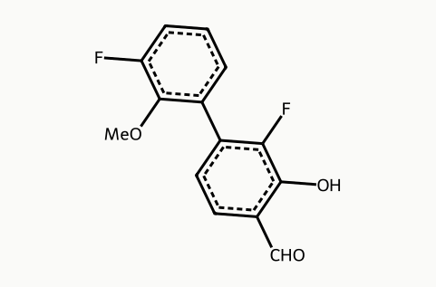 COc1c(F)cccc1-c1ccc(C=O)c(O)c1F